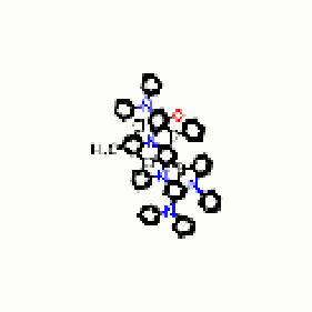 Cc1cc(C)c(N2c3cc4c(cc3B3c5ccccc5Oc5cc(N(c6ccccc6)c6ccccc6)cc2c53)B2c3ccccc3N(c3ccccc3)c3cc(N(c5ccccc5)c5ccccc5)cc(c32)N4c2ccccc2)c(C)c1